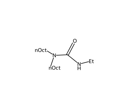 CCCCCCCCN(CCCCCCCC)C(=O)NCC